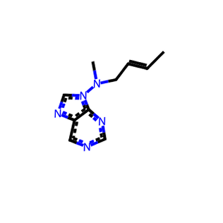 C/C=C/CN(C)n1cnc2cncnc21